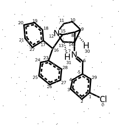 Clc1cccc(C=N[C@@H]2C3CCN(CC3)[C@@H]2C(c2ccccc2)c2ccccc2)c1